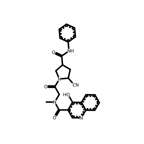 CN(CC(=O)N1CC(C(=O)Nc2ccccc2)CC1C#N)C(=O)c1cnc2ccccc2c1O